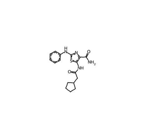 NC(=O)c1nc(Nc2ccccc2)sc1NC(=O)CC1CCCC1